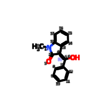 CN1C(=O)/C(=C(/O)c2ccccc2)c2ccccc21